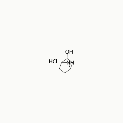 Cl.OC1CC2CCC1N2